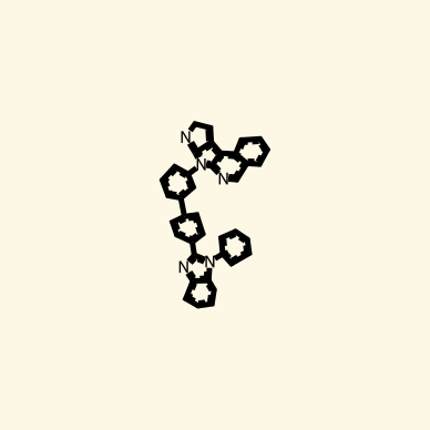 C1=c2c(n(-c3cccc(-c4ccc(-c5nc6ccccc6n5-c5ccccc5)cc4)c3)c3ncc4ccccc4c23)=NC1